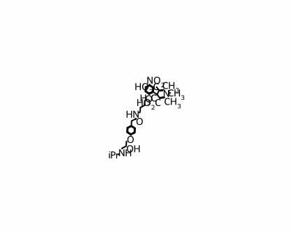 CC1=C(C(=O)O)C(C)(c2cc([N+](=O)[O-])ccc2OCCCCNC(=O)Cc2ccc(OCC(O)CNC(C)C)cc2)C(C(=O)O)=C(C)N1C